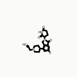 C#CCN1CCC(c2cc(F)cc3c2CN(C2CCC(=O)NC2=O)C3=O)CC1